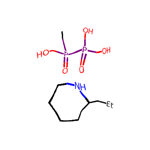 CCC1CCCCN1.CP(=O)(O)P(=O)(O)O